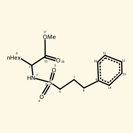 CCCCCCC(NS(=O)(=O)CCCc1ccccc1)C(=O)OC